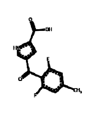 Cc1cc(F)c(C(=O)c2c[nH]c(C(=O)O)c2)c(F)c1